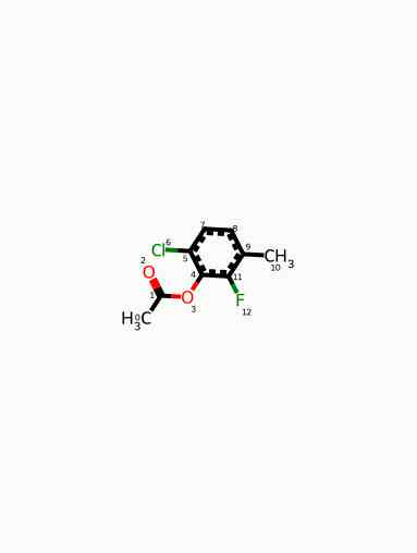 CC(=O)Oc1c(Cl)ccc(C)c1F